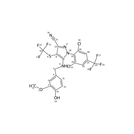 COc1cc(CNc2c(SC(F)(F)F)c(C#N)nn2-c2c(Cl)cc(C(F)(F)F)cc2Cl)ccc1O